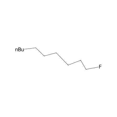 C[CH]CCCCCCCCF